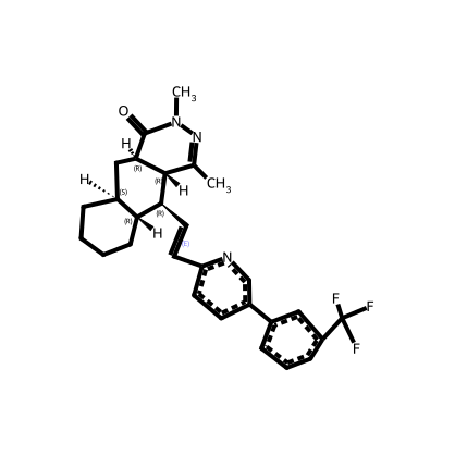 CC1=NN(C)C(=O)[C@@H]2C[C@@H]3CCCC[C@H]3[C@H](/C=C/c3ccc(-c4cccc(C(F)(F)F)c4)cn3)[C@@H]12